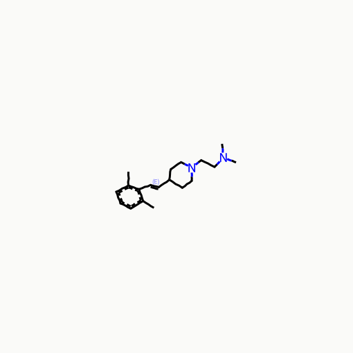 Cc1cccc(C)c1/C=C/C1CCN(CCN(C)C)CC1